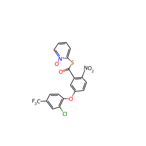 O=C(Sc1cccc[n+]1[O-])c1cc(Oc2ccc(C(F)(F)F)cc2Cl)ccc1[N+](=O)[O-]